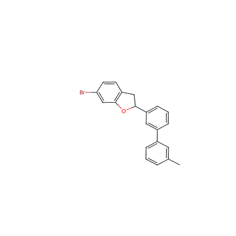 Cc1cccc(-c2cccc(C3Cc4ccc(Br)cc4O3)c2)c1